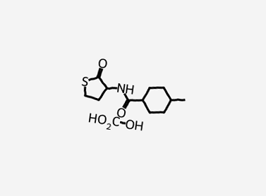 CC1CCC(C(=O)NC2CCSC2=O)CC1.O=C(O)O